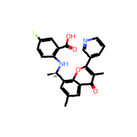 Cc1cc([C@@H](C)Nc2ccc(F)cc2C(=O)O)c2oc(-c3cccnc3)c(C)c(=O)c2c1